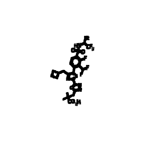 CCC(NS(=O)(=O)c1ccc(-c2sc(-c3nnc(CC(C)(C)C(=O)O)o3)nc2CC2CCC2)c(C(F)F)c1F)C(F)(F)F